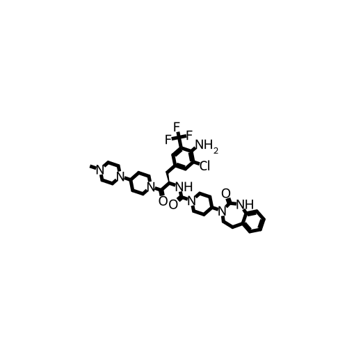 CN1CCN(C2CCN(C(=O)[C@@H](Cc3cc(Cl)c(N)c(C(F)(F)F)c3)NC(=O)N3CCC(N4CCc5ccccc5NC4=O)CC3)CC2)CC1